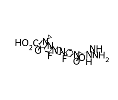 N=C(N)NC[C@H]1CN(c2ccc(N3CCN(c4nc5c(cc4F)c(=O)c(C(=O)O)cn5C4CC4)CC3)c(F)c2)C(=O)O1